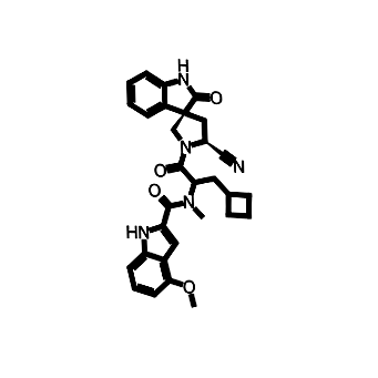 COc1cccc2[nH]c(C(=O)N(C)C(CC3CCC3)C(=O)N3C[C@]4(C[C@H]3C#N)C(=O)Nc3ccccc34)cc12